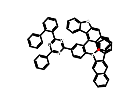 c1ccc(-c2nc(-c3ccc(-n4c5ccccc5c5cc6ccccc6cc54)c(-c4c5ccccc5cc5oc6ccccc6c45)c3)nc(-c3ccccc3-c3ccccc3)n2)cc1